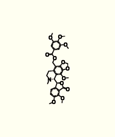 COc1cc(C(=O)OCc2c3c(c(OC)c4c2OCO4)[C@H]([C@H]2OC(=O)c4c2ccc(OC)c4OC)N(C)CC3)cc(OC)c1OC